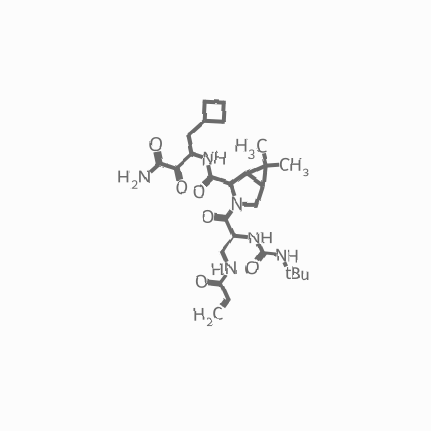 C=CC(=O)NC[C@H](NC(=O)NC(C)(C)C)C(=O)N1CC2C(C1C(=O)NC(CC1CCC1)C(=O)C(N)=O)C2(C)C